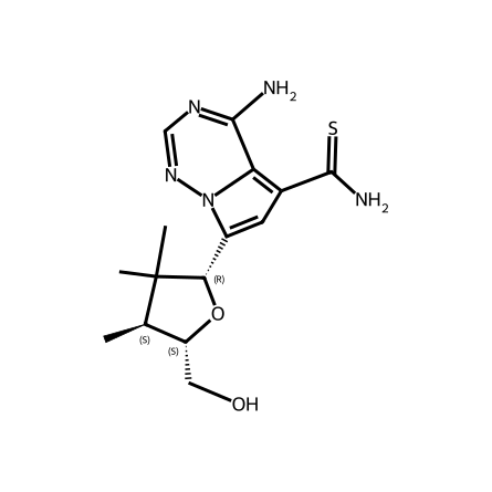 C[C@@H]1[C@@H](CO)O[C@@H](c2cc(C(N)=S)c3c(N)ncnn23)C1(C)C